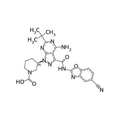 CC(C)(C)c1nc(N)c2c(C(=O)Nc3nc4cc(C#N)ccc4o3)nn([C@@H]3CCCN(C(=O)O)C3)c2n1